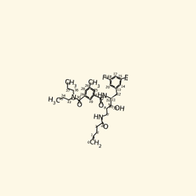 C=CCCC(=O)NCC[C@@H](O)[C@H](Cc1cc(F)cc(F)c1)NC(=O)c1cc(C)cc(C(=O)N(CCC)CCC)c1